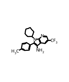 Cc1ccc(-c2c(N)c3cc(C(F)(F)F)cnc3n2C2CCCCC2)cc1